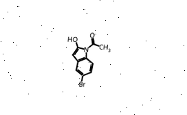 CC(=O)n1c(O)cc2cc(Br)ccc21